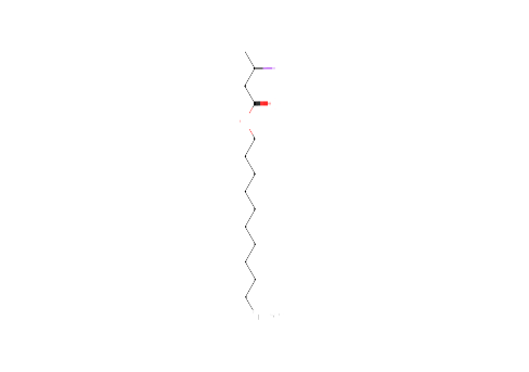 CCCCCCCCCCCCCCCCCCCCOC(=O)CC(C)I